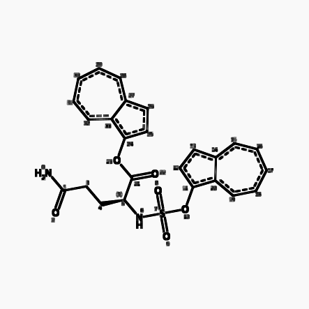 NC(=O)CC[C@H](NS(=O)(=O)Oc1ccc2cccccc1-2)C(=O)Oc1ccc2cccccc1-2